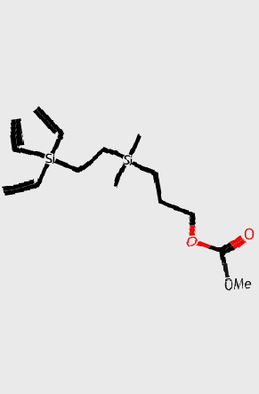 C=C[Si](C=C)(C=C)CC[Si](C)(C)CCCOC(=O)OC